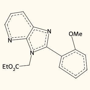 CCOC(=O)Cn1c(-c2ccccc2OC)nc2cccnc21